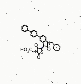 O=C(O)CN1C(=O)S/C(=C2\C(=O)N(CC3CCCCC3)c3ccc(-c4ccc(-c5ccccc5)cc4)cc32)C1=O